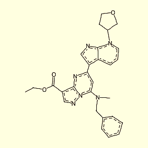 CCOC(=O)c1cnn2c(N(C)Cc3ccccc3)cc(-c3cnc4n(C5CCOC5)cccc3-4)nc12